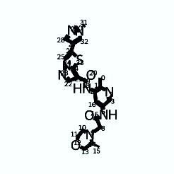 Cc1ncc(NC(=O)CN2CCOC[C@@H]2C)cc1NC(=O)c1cnn2cc(-c3cnn(C)c3)sc12